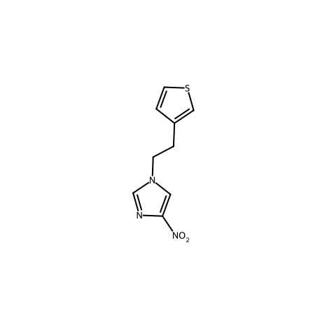 O=[N+]([O-])c1cn(CCc2ccsc2)cn1